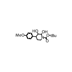 COc1ccc(C2CCN(C(=O)OC(C)(C)C)C(O)C2O)cc1